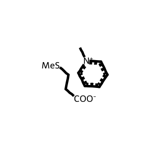 CSCCC(=O)[O-].C[n+]1ccccc1